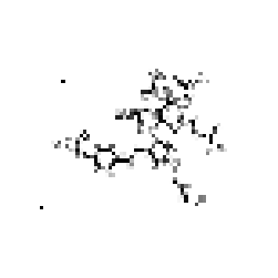 CC(C)(C)C(=O)OC[C@H]1O[C@@H](Oc2nn(CCCC(=O)O)cc2CCc2ccc(OC(=O)C(C)(C)C)cc2)[C@H](OC(=O)C(C)(C)C)[C@@H](OC(=O)C(C)(C)C)[C@@H]1OC(=O)C(C)(C)C